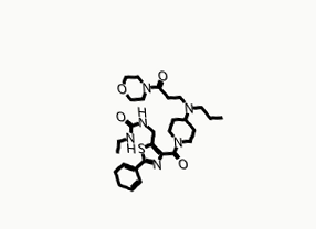 CCCN(CCC(=O)N1CCOCC1)C1CCN(C(=O)c2nc(C3=CCCC=C3)sc2CNC(=O)NCC)CC1